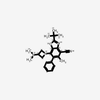 Cc1c(-c2ccccc2)c(N2CC(N(C)C)C2)c2oc(C(C)(C)C)nc2c1C#N